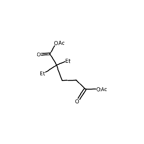 CCC(CC)(CCC(=O)OC(C)=O)C(=O)OC(C)=O